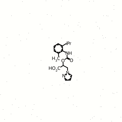 Cc1cccc(C(C)C)c1NC(=O)OC(Cn1cccn1)C(=O)O